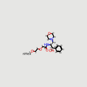 CCCCCCOCCOCC(=O)N[C@@H](CN1CCOCC1)[C@@H](O)c1ccccc1